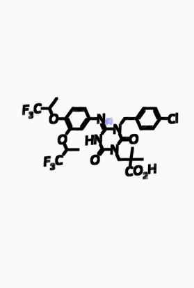 CC(Oc1ccc(/N=c2\[nH]c(=O)n(CC(C)(C)C(=O)O)c(=O)n2Cc2ccc(Cl)cc2)cc1OC(C)C(F)(F)F)C(F)(F)F